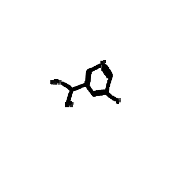 CCCC(CCC)c1cncc(F)c1